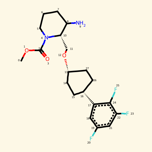 COC(=O)N1CCCC(N)[C@@H]1CO[C@H]1CC[C@@H](c2cc(F)cc(F)c2F)CC1